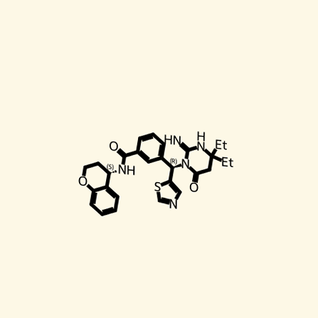 CCC1(CC)CC(=O)N([C@H](c2cccc(C(=O)N[C@H]3CCOc4ccccc43)c2)c2cncs2)C(=N)N1